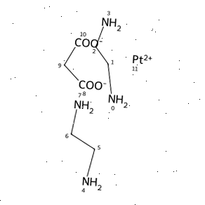 NCCN.NCCN.O=C([O-])CC(=O)[O-].[Pt+2]